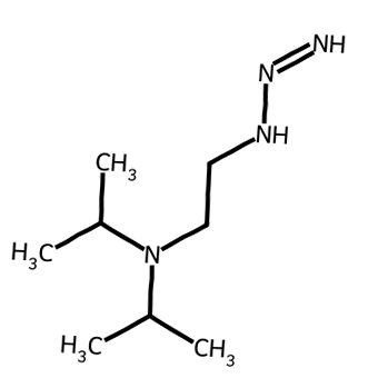 CC(C)N(CCNN=N)C(C)C